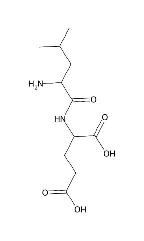 CC(C)CC(N)C(=O)NC(CCC(=O)O)C(=O)O